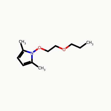 CCCOCCOn1c(C)ccc1C